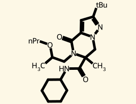 CCCOC(C)CN1C(=O)c2cc(C(C)(C)C)nn2CC1(C)C(=O)NC1CCCCC1